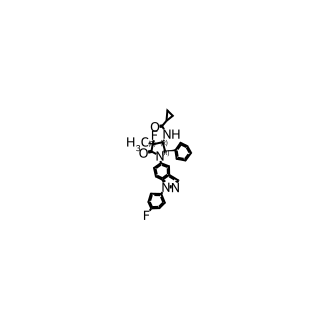 C[C@]1(F)C(=O)N(c2ccc3c(cnn3-c3ccc(F)cc3)c2)[C@H](c2ccccc2)[C@H]1NC(=O)C1CC1